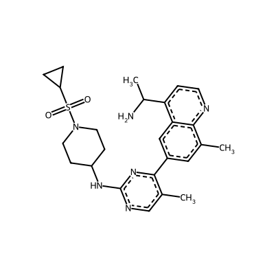 Cc1cnc(NC2CCN(S(=O)(=O)C3CC3)CC2)nc1-c1cc(C)c2nccc(C(C)N)c2c1